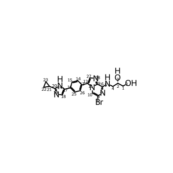 OC[C@@H](O)CNc1nc(Br)cn2c(-c3ccc(-c4cnc(C5CC5)[nH]4)cc3)cnc12